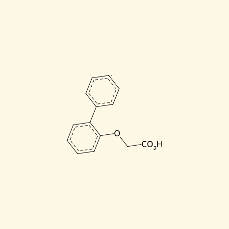 O=C(O)COc1ccccc1-c1cc[c]cc1